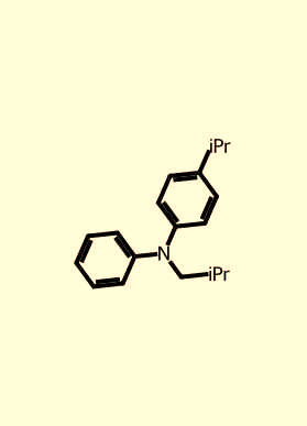 CC(C)CN(c1ccccc1)c1ccc(C(C)C)cc1